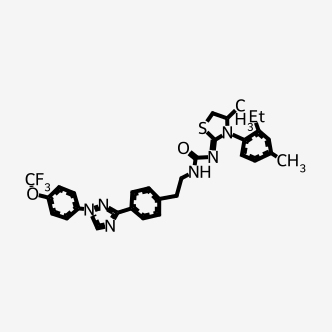 CCc1cc(C)ccc1N1/C(=N/C(=O)NCCc2ccc(-c3ncn(-c4ccc(OC(F)(F)F)cc4)n3)cc2)SCC1C